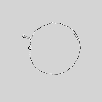 O=C1CCCCC/C=C\CCCCCCCCCO1